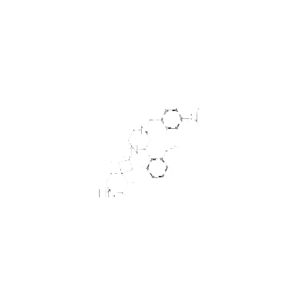 CC(C)c1ccccc1C1CN(Cc2ccc(N(C)C)cc2)CCN1C1CC2(CCNCC2)C1